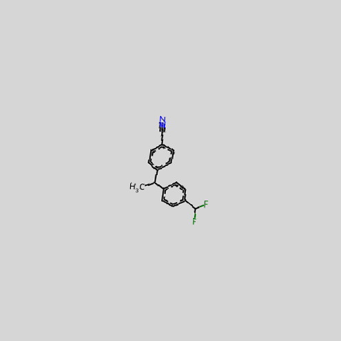 CC(c1ccc(C#N)cc1)c1ccc(C(F)F)cc1